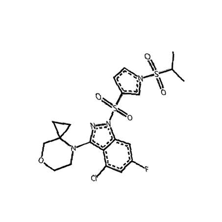 CC(C)S(=O)(=O)n1ccc(S(=O)(=O)n2nc(N3CCOCC34CC4)c3c(Cl)cc(F)cc32)c1